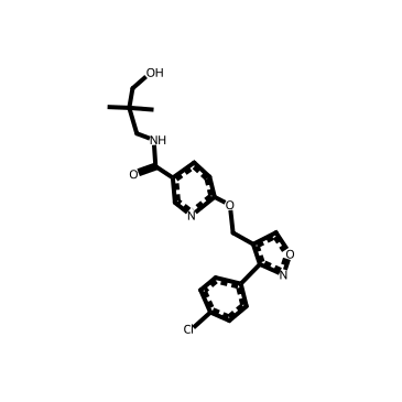 CC(C)(CO)CNC(=O)c1ccc(OCc2conc2-c2ccc(Cl)cc2)nc1